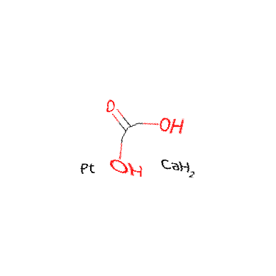 O=C(O)O.[CaH2].[Pt]